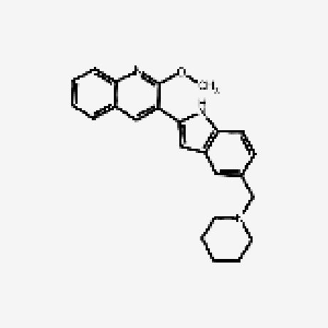 COc1nc2ccccc2cc1-c1cc2cc(CN3CCCCC3)ccc2[nH]1